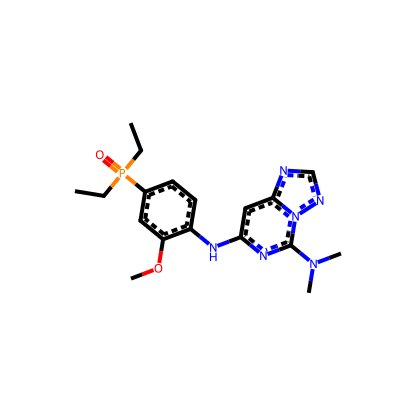 CCP(=O)(CC)c1ccc(Nc2cc3ncnn3c(N(C)C)n2)c(OC)c1